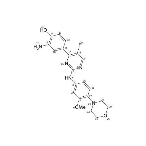 COc1cc(Nc2ncc(F)c(-c3ccc(O)c(N)c3)n2)ccc1N1CCOCC1